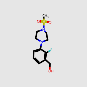 CS(=O)(=O)N1CCN(c2cccc(CO)c2F)CC1